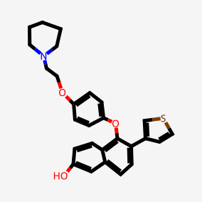 Oc1ccc2c(Oc3ccc(OCCN4CCCCC4)cc3)c(-c3ccsc3)ccc2c1